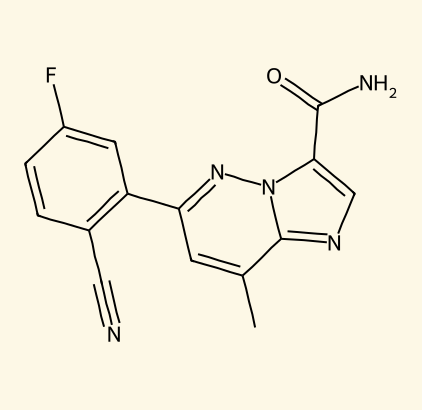 Cc1cc(-c2cc(F)ccc2C#N)nn2c(C(N)=O)cnc12